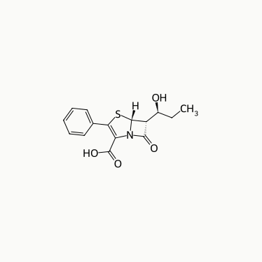 CC[C@H](O)[C@@H]1C(=O)N2C(C(=O)O)=C(c3ccccc3)S[C@H]12